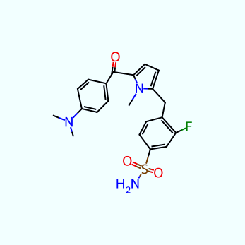 CN(C)c1ccc(C(=O)c2ccc(Cc3ccc(S(N)(=O)=O)cc3F)n2C)cc1